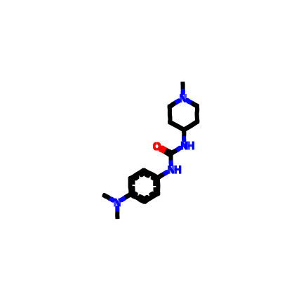 CN1CCC(NC(=O)Nc2ccc(N(C)C)cc2)CC1